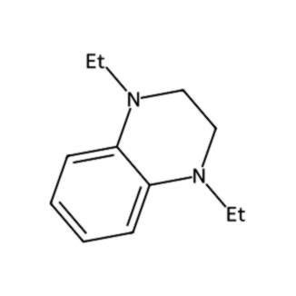 CCN1CCN(CC)c2ccccc21